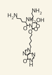 NCCC[C@H](N)C(=O)N(C(=O)OCCCCCn1cnc2c(=O)[nH]cnc21)[C@@H](CCCN)C(=O)O